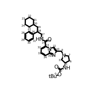 CC(C)(C)OC(=O)N[C@@H]1CCN(Cc2cn3c(C(=O)NCC(CC4CCCCC4)c4ccccc4)cccc3n2)C1